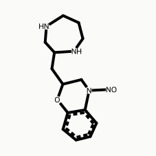 O=NN1CC(CC2CNCCCN2)Oc2ccccc21